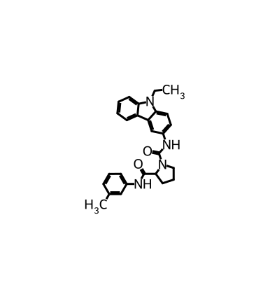 CCn1c2ccccc2c2cc(NC(=O)N3CCCC3C(=O)Nc3cccc(C)c3)ccc21